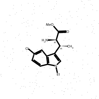 CCn1cc([C@@H](C)[C@@H](N)C(=O)OC)c2cc(Cl)ccc21